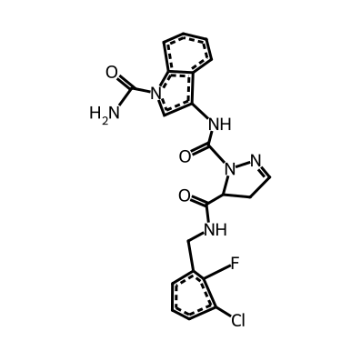 NC(=O)n1cc(NC(=O)N2N=CCC2C(=O)NCc2cccc(Cl)c2F)c2ccccc21